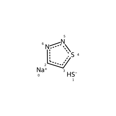 [Na+].[SH-].c1csnn1